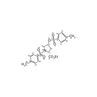 CCOC(=O)[C@H]1CC(OS(=O)(=O)c2ccc(C)cc2)CN1S(=O)(=O)c1ccc(C)cc1